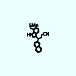 CSCc1cccc2c(C(CCC#N)c3ccc4ccccc4c3)c[nH]c12